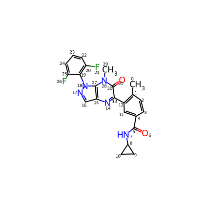 Cc1ccc(C(=O)NC2CC2)cc1-c1nc2cnn(-c3c(F)cccc3F)c2n(C)c1=O